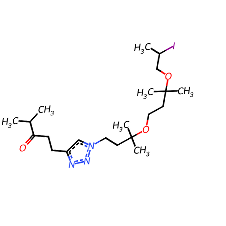 CC(I)COC(C)(C)CCOC(C)(C)CCn1cc(CCC(=O)C(C)C)nn1